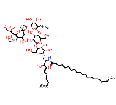 CCCCCCCC/C=C\CCCCCCCCCCCCCCCC(=O)N[C@@H](CO[C@@H]1OC(CO)[C@@H](O[C@@H]2OC(CO)[C@H](O[C@@H]3OC(CO[C@]4(C(=O)O)CC(O)[C@@H](NC(C)=O)C([C@H](O)[C@H](O)CO)O4)[C@H](O)[C@H](O)C3NC(C)=O)[C@H](O)C2O)[C@H](O)C1O)[C@H](O)/C=C/CCCCCCCCCCCCC